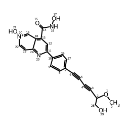 COC(C#CC#Cc1ccc(-c2cc(C(=O)NO)c3c[n+](O)ccc3n2)cc1)CO